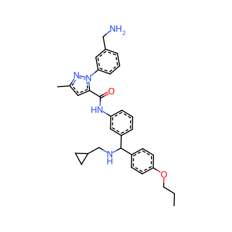 CCCOc1ccc(C(NCC2CC2)c2cccc(NC(=O)c3cc(C)nn3-c3cccc(CN)c3)c2)cc1